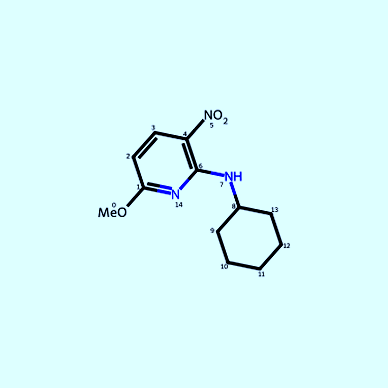 COc1ccc([N+](=O)[O-])c(NC2CCCCC2)n1